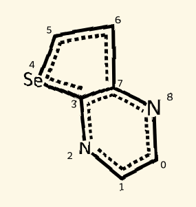 c1cnc2[se]ccc2n1